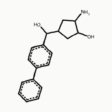 NC1CC(C(O)c2ccc(-c3ccccc3)cc2)CC1O